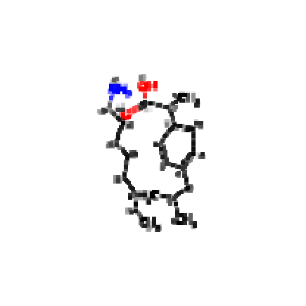 CC(C)Cc1ccc(C(C)C(=O)O)cc1.CCCCCCCCN